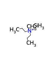 CCC[N+](C)(C[SiH3])CCC